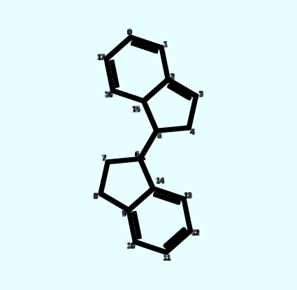 C1=CC2=CCC([C]3CCc4ccccc43)C2C=C1